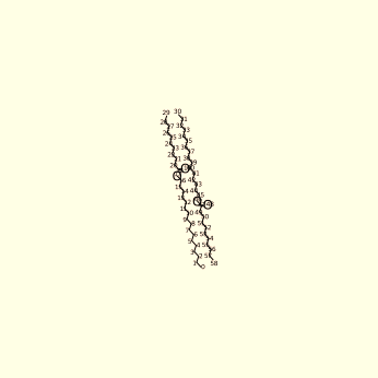 CCCCCCCCCCCCCCCCCOC(=O)CCCCCCCCCC.CCCCCCCCCCCCCCCCOC(=O)CCCCCCCCCC